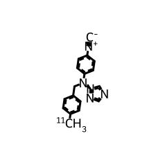 [C-]#[N+]c1ccc(N(Cc2ccc([11CH3])cc2)n2cncn2)cc1